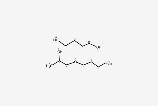 CCCCOCC(C)O.OCCCCO